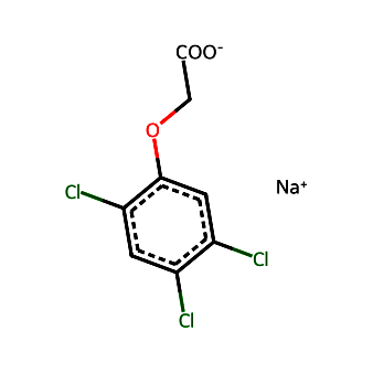 O=C([O-])COc1cc(Cl)c(Cl)cc1Cl.[Na+]